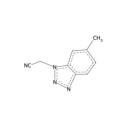 Cc1ccc2nnn(CC#N)c2c1